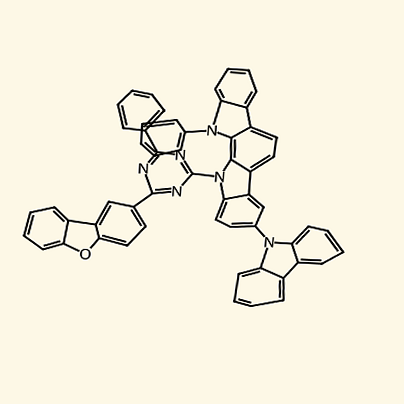 c1ccc(-c2nc(-c3ccc4oc5ccccc5c4c3)nc(-n3c4ccc(-n5c6ccccc6c6ccccc65)cc4c4ccc5c6ccccc6n(-c6ccccc6)c5c43)n2)cc1